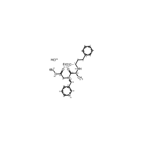 CCOC(=O)[C@H](CCc1ccccc1)N[C@@H](C)C(=O)[N+](=Cc1cccnc1)CC(=O)OC(C)(C)C.Cl